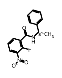 C[C@H](NC(=O)c1cccc([N+](=O)[O-])c1F)c1ccccc1